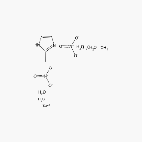 Cc1ncc[nH]1.O.O.O.O.O.O.O=[N+]([O-])[O-].O=[N+]([O-])[O-].[Zn+2]